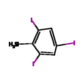 [SiH3]c1c(I)cc(I)cc1I